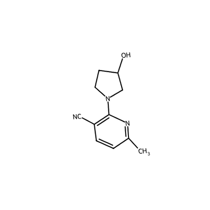 Cc1ccc(C#N)c(N2CCC(O)C2)n1